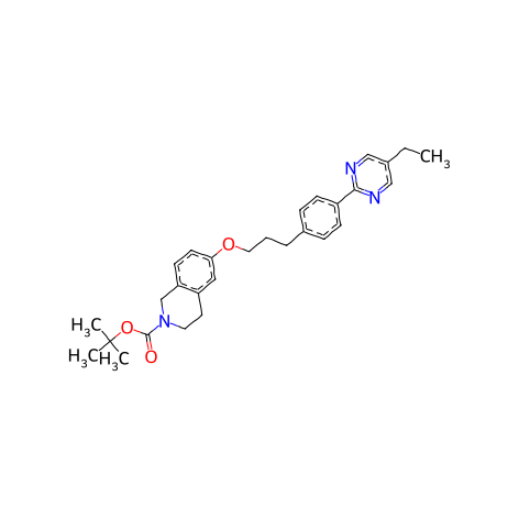 CCc1cnc(-c2ccc(CCCOc3ccc4c(c3)CCN(C(=O)OC(C)(C)C)C4)cc2)nc1